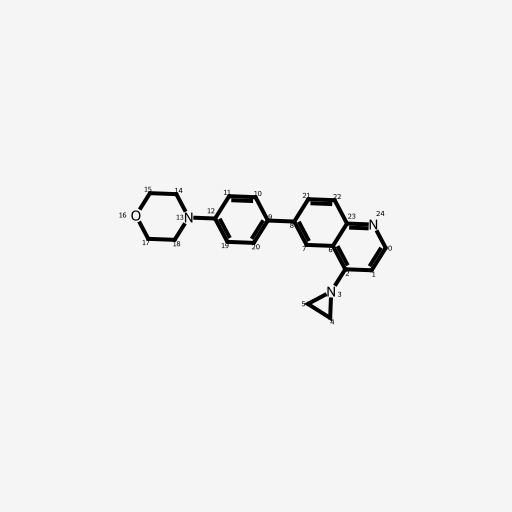 c1cc(N2CC2)c2cc(-c3ccc(N4CCOCC4)cc3)ccc2n1